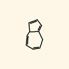 C1=CCC2=CC=CC2C=C1